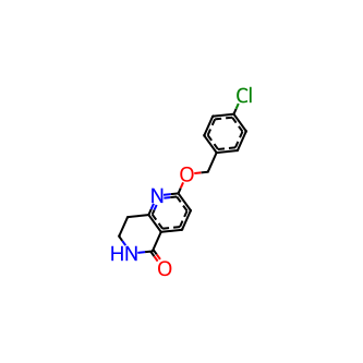 O=C1NCCc2nc(OCc3ccc(Cl)cc3)ccc21